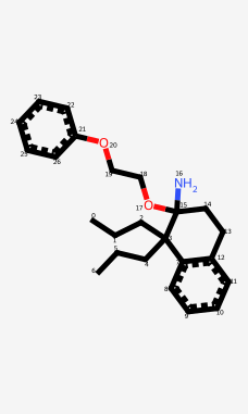 CCCC1(CCC)c2ccccc2CCC1(N)OCCOc1ccccc1